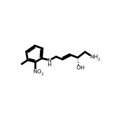 Cc1cccc(NC/C=C/[C@@H](O)CN)c1[N+](=O)[O-]